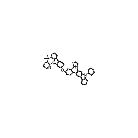 CC1(C)c2cccnc2-n2c3cc(Oc4ccc5c6cc7c8ccccc8n(-c8ccccc8)c7cc6n6ccnc6c5c4)ccc3c3cccc1c32